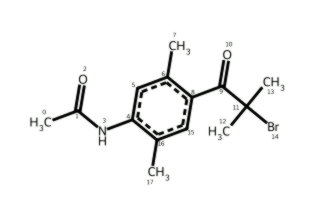 CC(=O)Nc1cc(C)c(C(=O)C(C)(C)Br)cc1C